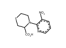 O=C(O)C1CSCCN1c1ncccc1[N+](=O)[O-]